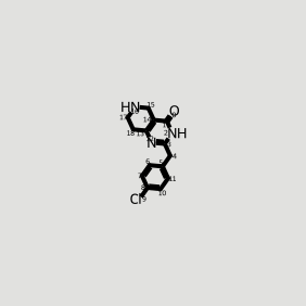 O=c1[nH]c(Cc2ccc(Cl)cc2)nc2c1CNCC2